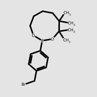 CC1(C)CCCCOB(c2ccc(CBr)cc2)OC1(C)C